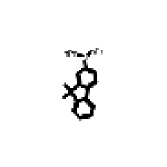 CCCN(CCC)c1ccc2c(c1)C(C)(C)c1ccccc1-2